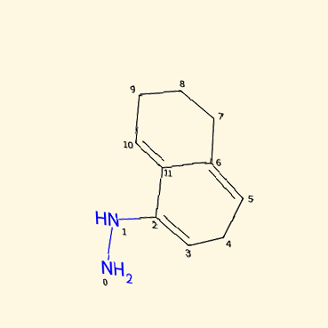 NNC1=CCC=C2CCCC=C21